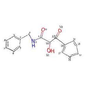 O=C(NCc1ccccc1)C(O)C(=O)c1ccccc1